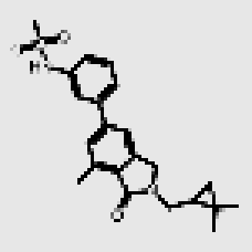 Cc1cc(-c2cccc(NS(C)(=O)=O)c2)cc2c1C(=O)N(CC1CC1(C)C)C2